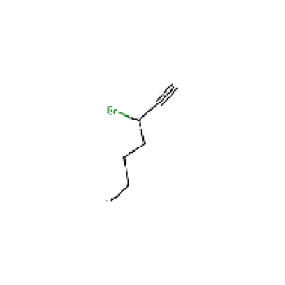 C#CC(Br)CCC[CH2]